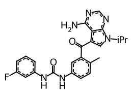 Cc1ccc(NC(=O)Nc2cccc(F)c2)cc1C(=O)c1cn(C(C)C)c2ncnc(N)c12